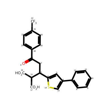 O=C(CC(c1cc(-c2ccccc2)cs1)C(C(=O)O)C(=O)O)c1ccc(C(F)(F)F)cc1